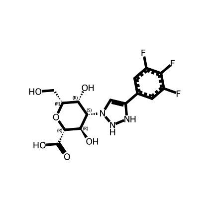 O=C(O)[C@@H]1O[C@H](CO)[C@H](O)[C@H](N2C=C(c3cc(F)c(F)c(F)c3)NN2)[C@H]1O